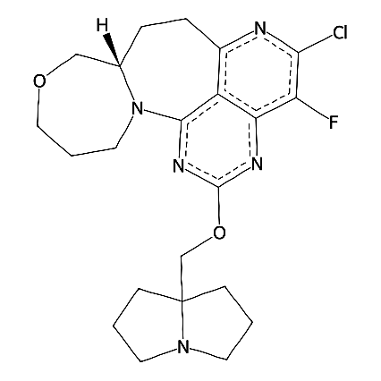 Fc1c(Cl)nc2c3c(nc(OCC45CCCN4CCC5)nc13)N1CCCOC[C@@H]1CC2